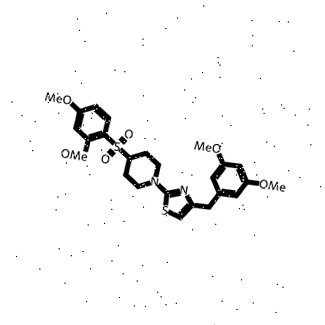 COc1cc(Cc2csc(N3CCC(S(=O)(=O)c4ccc(OC)cc4OC)CC3)n2)cc(OC)c1